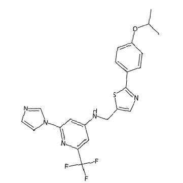 CC(C)Oc1ccc(-c2ncc(CNc3cc(-n4ccnc4)nc(C(F)(F)F)c3)s2)cc1